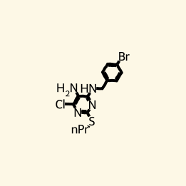 CCCSc1nc(Cl)c(N)c(NCc2ccc(Br)cc2)n1